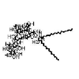 CCCCCCCCCCCCC/C=C/[C@@H](O)[C@H](CO[C@@H]1OC(CO)[C@@H](O[C@@H]2OC(CO)[C@H](O)[C@H](O[C@@H]3OC(CO)[C@@H](O[C@@H]4OC(CO)[C@H](O)[C@H](O[C@H]5OC(CO)[C@@H](O[C@@H]6OC(CO)[C@H](O)[C@H](O)C6O)[C@H](O)C5NC(C)=O)C4O)[C@H](O)C3NC(C)=O)C2O)[C@H](O)C1O)NC(=O)CCCCCCCCCCCCCCCCC